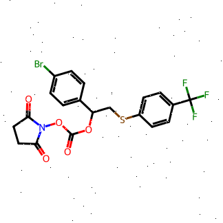 O=C(OC(CSc1ccc(C(F)(F)F)cc1)c1ccc(Br)cc1)ON1C(=O)CCC1=O